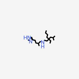 CCCCC(CC)(CCNCC(C)CCc1c[nH]cn1)CC(C)C